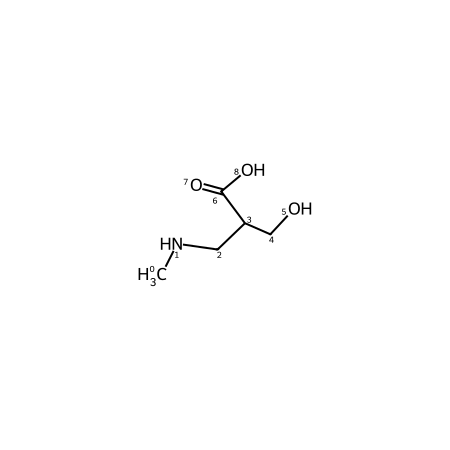 CNCC(CO)C(=O)O